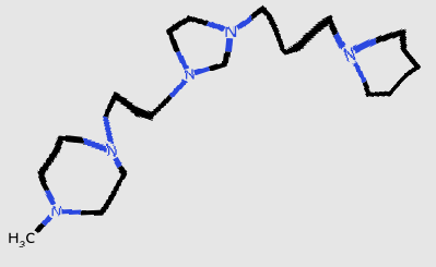 CN1CCN(CCN2CCN(CCCN3CCCC3)C2)CC1